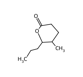 CCCC1OC(=O)CCC1C